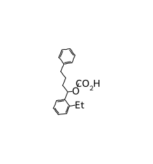 CCc1ccccc1C(CCCc1ccccc1)OC(=O)O